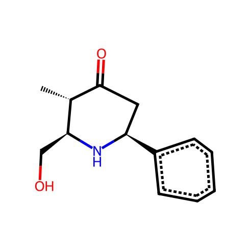 C[C@@H]1C(=O)C[C@@H](c2ccccc2)N[C@H]1CO